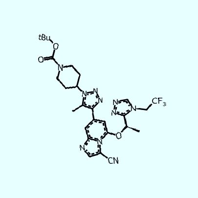 Cc1c(-c2cc(O[C@H](C)c3nncn3CC(F)(F)F)n3c(C#N)cnc3c2)nnn1C1CCN(C(=O)OC(C)(C)C)CC1